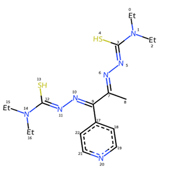 CCN(CC)/C(S)=N/N=C(C)/C(=N/N=C(\S)N(CC)CC)c1ccncc1